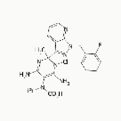 CC(C)N(C(=O)O)C1=C(N)N(Cl)C(C)(c2nn(Cc3ccccc3F)c3ncccc23)N=C1N